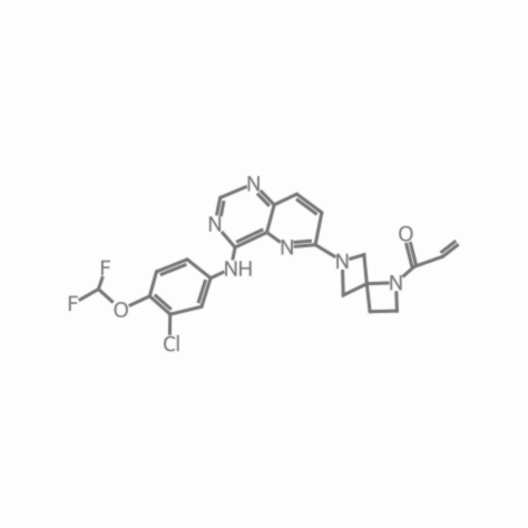 C=CC(=O)N1CCC12CN(c1ccc3ncnc(Nc4ccc(OC(F)F)c(Cl)c4)c3n1)C2